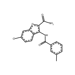 Cc1cccc(C(=O)Nc2c(C(N)=O)oc3cc(Cl)ccc23)c1